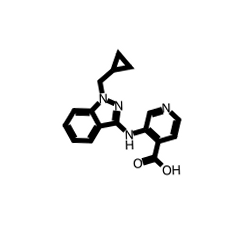 O=C(O)c1ccncc1Nc1nn(CC2CC2)c2ccccc12